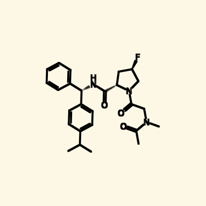 CC(=O)N(C)CC(=O)N1C[C@H](F)C[C@H]1C(=O)N[C@@H](c1ccccc1)c1ccc(C(C)C)cc1